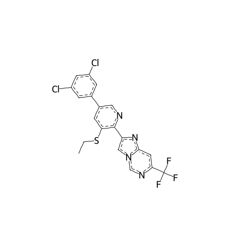 CCSc1cc(-c2cc(Cl)cc(Cl)c2)cnc1-c1cn2cnc(C(F)(F)F)cc2n1